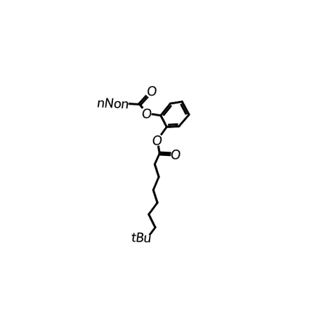 CCCCCCCCCC(=O)Oc1ccccc1OC(=O)CCCCCCC(C)(C)C